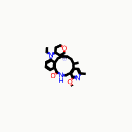 CCN(c1cccc2c1C/C=C\CC(C)c1cc(C)nc(OC)c1CNC2=O)C1CCOCC1